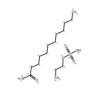 CCCCCCCCCCCC(N)=O.CCCOS(=O)(=O)O